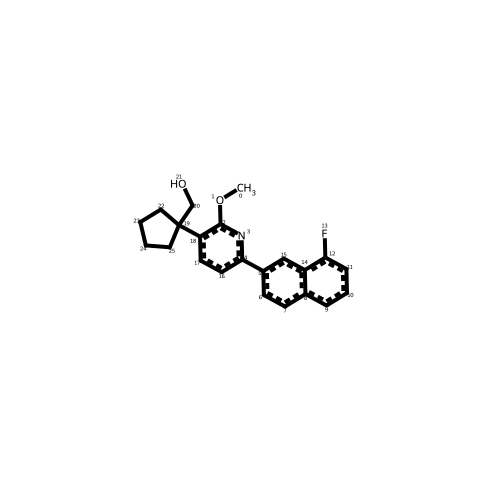 COc1nc(-c2ccc3cccc(F)c3c2)ccc1C1(CO)CCCC1